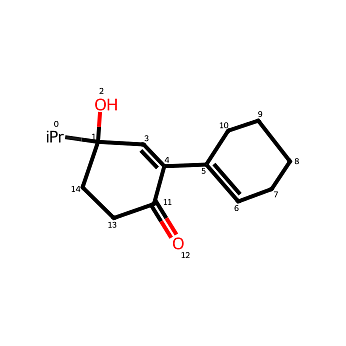 CC(C)C1(O)C=C(C2=CCCCC2)C(=O)CC1